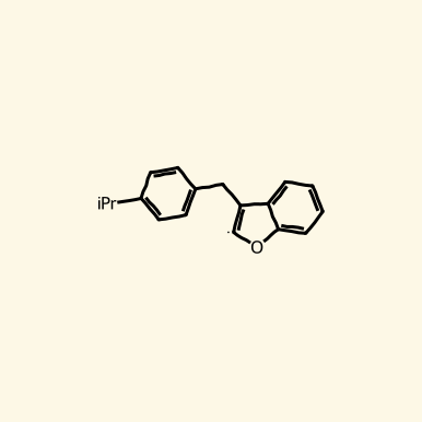 CC(C)c1ccc(Cc2[c]oc3ccccc23)cc1